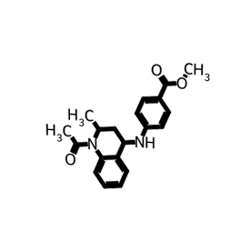 COC(=O)c1ccc(NC2CC(C)N(C(C)=O)c3ccccc32)cc1